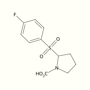 O=C(O)N1CCCC1S(=O)(=O)c1ccc(F)cc1